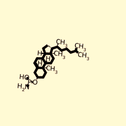 CC(C)CCC[C@@H](C)[C@H]1CC[C@H]2[C@@H]3CC=C4C[C@@H](OP(N)O)CC[C@]4(C)[C@H]3CC[C@]12C